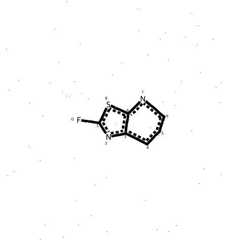 Fc1nc2cccnc2s1